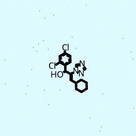 OC(C(=CC1CCCCC1)n1cncn1)c1ccc(Cl)cc1Cl